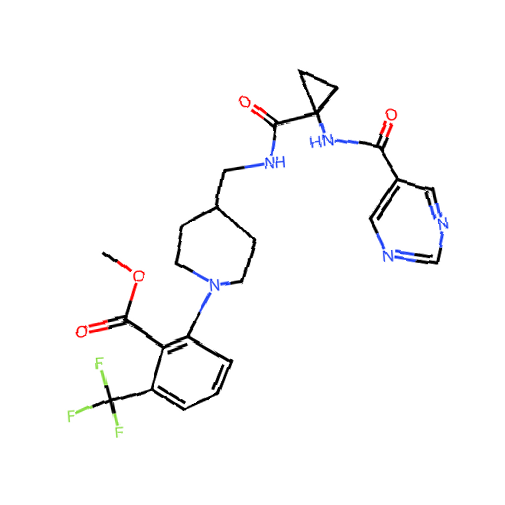 COC(=O)c1c(N2CCC(CNC(=O)C3(NC(=O)c4cncnc4)CC3)CC2)cccc1C(F)(F)F